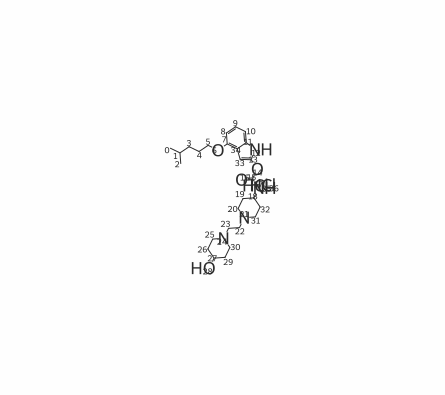 CC(C)CCCOc1cccc2[nH]c(OC(=O)NC3CCN(CCN4CCC(O)CC4)CC3)cc12.Cl.Cl